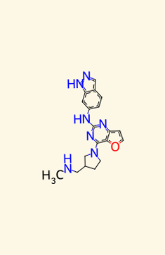 CNCC1CCN(c2nc(Nc3ccc4cn[nH]c4c3)nc3ccoc23)C1